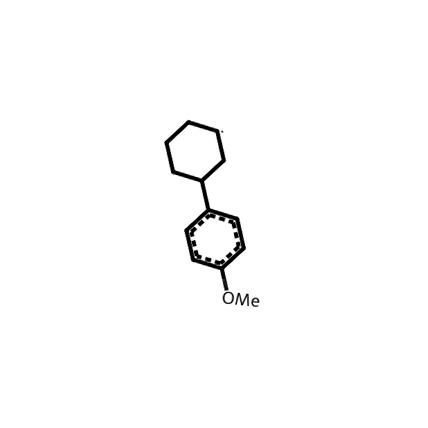 COc1ccc(C2C[CH]CCC2)cc1